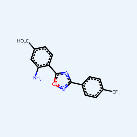 Nc1cc(C(=O)O)ccc1-c1nc(-c2ccc(C(F)(F)F)cc2)no1